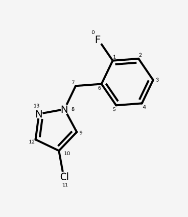 Fc1ccccc1Cn1cc(Cl)cn1